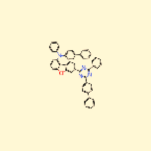 c1ccc(-c2ccc(-c3nc(-c4ccccc4)nc(-c4ccc5c(c4)oc4cccc(N(c6ccccc6)c6ccc(-c7ccccc7)cc6)c45)n3)cc2)cc1